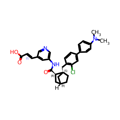 CN(C)c1ccc(-c2ccc(C[C@@]34CC[C@H](C[C@H]3C(=O)Nc3cncc(/C=C/C(=O)O)c3)C4)c(Cl)c2)cc1